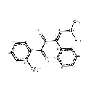 CN(C)/C=C(/C(=O)C(=O)c1ccccc1C(=O)O)c1ccccc1